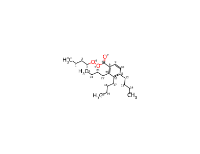 CCCCOOC(=O)c1ccc(CCCC)c(CCCC)c1CCCC